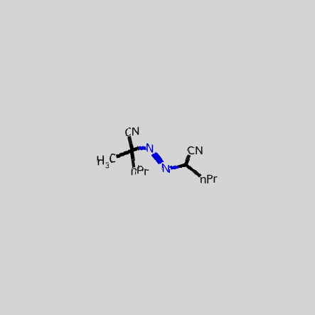 CCCC(C#N)N=NC(C)(C#N)CCC